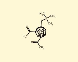 CC(=O)[C]12[CH]3[CH]4[CH]5[CH]1[Fe]45321678[CH]2[CH]1[C]6(C(C)=O)[CH]7[C]28C[Si](C)(C)C